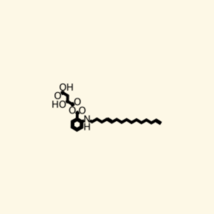 C=CCCCCCCCCC=CCCCNc1ccccc1C(=O)OC(=O)C(O)CC(=O)O